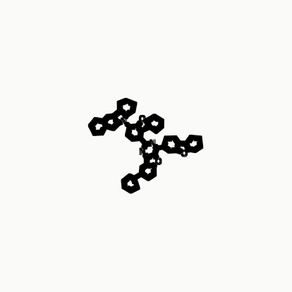 c1ccc(-c2ccc3oc4c(-c5ccc6c(c5)oc5ccccc56)nc(-c5ccc(-n6c7ccccc7c7cc8ccccc8cc76)c6oc7ccccc7c56)nc4c3c2)cc1